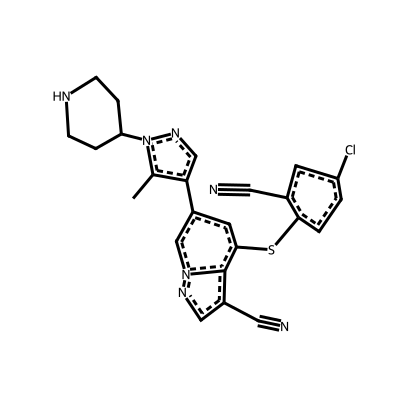 Cc1c(-c2cc(Sc3ccc(Cl)cc3C#N)c3c(C#N)cnn3c2)cnn1C1CCNCC1